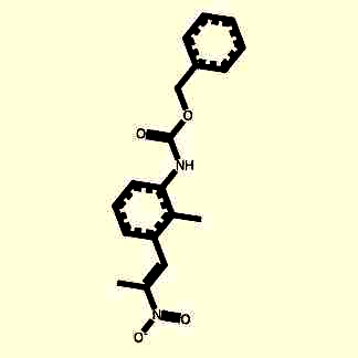 C/C(=C\c1cccc(NC(=O)OCc2ccccc2)c1C)[N+](=O)[O-]